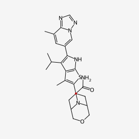 Cc1c(C2CC3COCC(C2)N3CC(N)=O)sc2[nH]c(-c3cc(C)c4ncnn4c3)c(C(C)C)c12